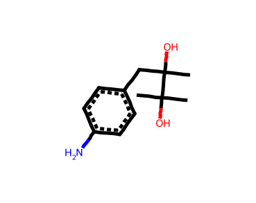 CC(C)(O)C(C)(O)Cc1ccc(N)cc1